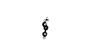 O=C1CCC(c2ccc3nc(OC(F)F)ccc3c2)CC1